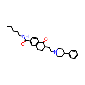 CCCCCNC(=O)c1ccc2c(c1)CCC(CCN1CCC(c3ccccc3)CC1)C2=O